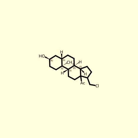 CC(=O)C12CC[C@H]3[C@@H](CC[C@H]4C[C@H](O)CC[C@@]43C)[C@@H]1CCC2CCl